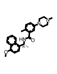 COc1ccc([C@@H](C)NC(=O)c2cc(N3CCN(C)CC3)ccc2C)c2ccccc12